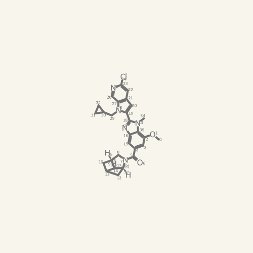 COc1cc(C(=O)N2C[C@H]3CC4C[C@@H]2[C@H]43)cc2nc(-c3cc4cc(Cl)ncc4n3CC3CC3)n(C)c12